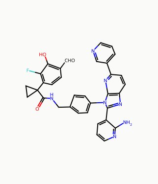 Nc1ncccc1-c1nc2ccc(-c3cccnc3)nc2n1-c1ccc(CNC(=O)C2(c3ccc(C=O)c(O)c3F)CC2)cc1